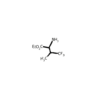 CCOC(=O)C(N)C(C)C(F)(F)F